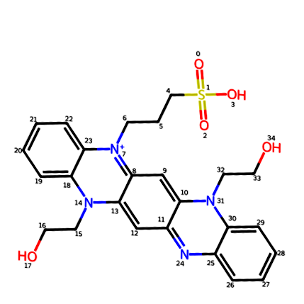 O=S(=O)(O)CCC[N+]1=c2cc3c(cc2N(CCO)c2ccccc21)=Nc1ccccc1N3CCO